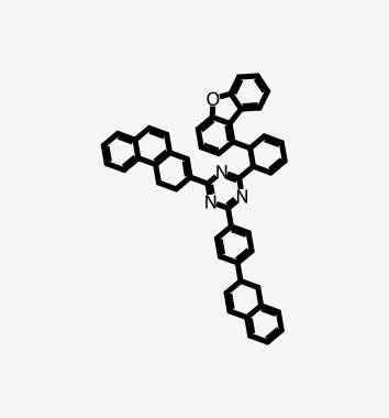 C1=CC(c2nc(C3=Cc4ccc5ccccc5c4CC3)nc(-c3ccc(C4C=Cc5ccccc5C4)cc3)n2)C(c2cccc3oc4ccccc4c23)C=C1